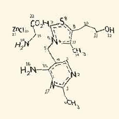 Cc1ncc(C[n+]2csc(CCO)c2C)c(N)n1.NCC(=O)O.[Cl-].[Zn]